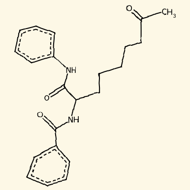 CC(=O)CCCCCC(NC(=O)c1ccccc1)C(=O)Nc1ccccc1